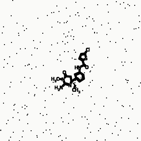 CC[C@@]1(c2cccc(NC(=O)c3ccc(Cl)s3)c2)CC(=O)N(C)C(N)=N1